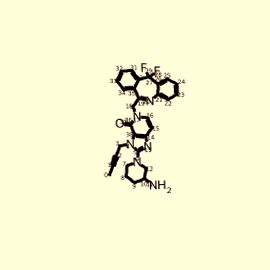 CC#CCn1c(N2CCCC(N)C2)nc2ccn(CC3=Nc4ccccc4C(F)(F)c4ccccc43)c(=O)c21